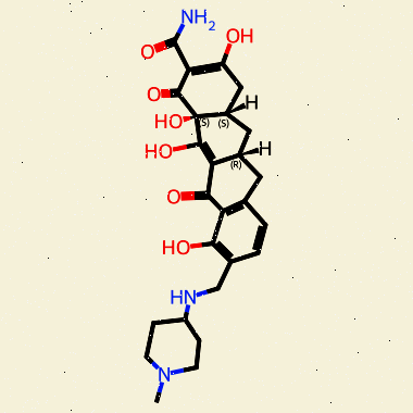 CN1CCC(NCc2ccc3c(c2O)C(=O)C2=C(O)[C@]4(O)C(=O)C(C(N)=O)=C(O)C[C@@H]4C[C@@H]2C3)CC1